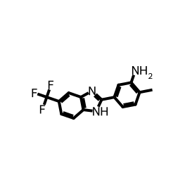 Cc1ccc(-c2nc3cc(C(F)(F)F)ccc3[nH]2)cc1N